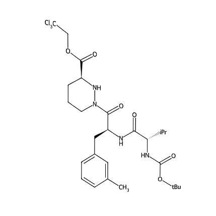 Cc1cccc(C[C@H](NC(=O)[C@@H](NC(=O)OC(C)(C)C)C(C)C)C(=O)N2CCC[C@@H](C(=O)OCC(Cl)(Cl)Cl)N2)c1